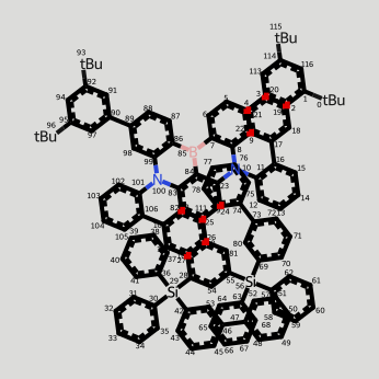 CC(C)(C)c1cc(-c2ccc3c(c2)N(c2ccccc2-c2ccccc2)c2cc(-c4cc([Si](c5ccccc5)(c5ccccc5)c5cccc(-c6ccccc6)c5)cc([Si](c5ccccc5)(c5ccccc5)c5cccc(-c6ccccc6)c5)c4)cc4c2B3c2ccc(-c3cc(C(C)(C)C)cc(C(C)(C)C)c3)cc2N4c2ccccc2-c2ccccc2)cc(C(C)(C)C)c1